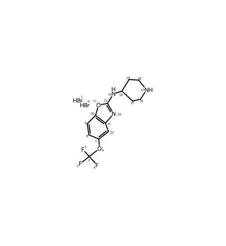 Br.Br.FC(F)(F)Oc1ccc2oc(NC3CCNCC3)nc2c1